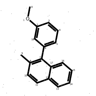 COc1cccc(-c2c(C)ccc3ccccc23)c1